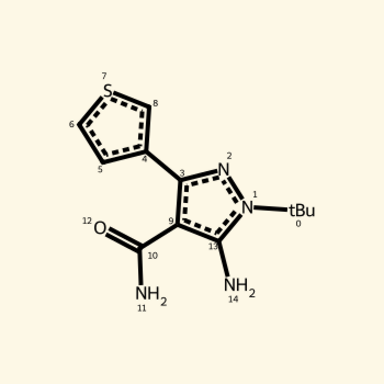 CC(C)(C)n1nc(-c2ccsc2)c(C(N)=O)c1N